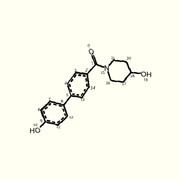 O=C(c1ccc(-c2ccc(O)cc2)cc1)N1CCC(O)CC1